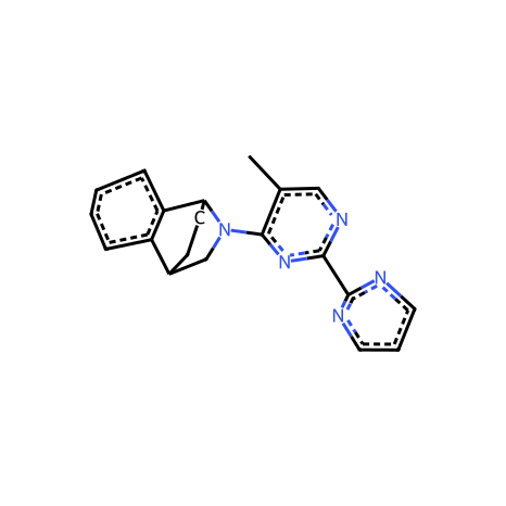 Cc1cnc(-c2ncccn2)nc1N1CC2CCC1c1ccccc12